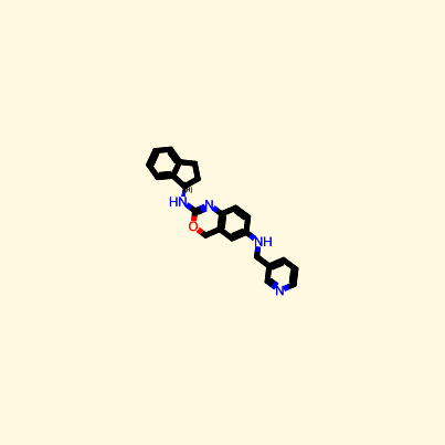 c1cncc(CNc2ccc3c(c2)COC(N[C@@H]2CCc4ccccc42)=N3)c1